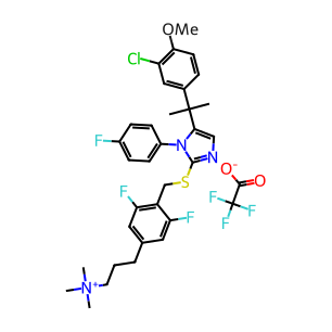 COc1ccc(C(C)(C)c2cnc(SCc3c(F)cc(CCC[N+](C)(C)C)cc3F)n2-c2ccc(F)cc2)cc1Cl.O=C([O-])C(F)(F)F